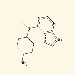 CN(c1ncnc2[nH]ccc12)N1CCC(N)CC1